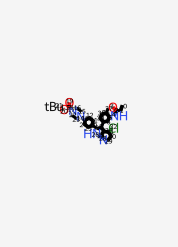 C=CC(=O)Nc1cc(-c2c(-c3ccc(N4CCN(C(=O)OC(C)(C)C)CC4)cc3)[nH]c3nccc(Cl)c23)ccc1C